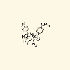 Cc1ccc(C(=O)N(NC(=O)c2ccc(F)cc2)C(C)(C)C)cc1